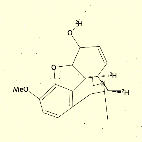 [2H]OC1C=C[C@]2([2H])[C@@]34CCN(C)[C@]2([2H])Cc2ccc(OC)c(c23)OC14